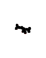 c1ccc(N(c2ccccc2)c2ccc(-c3cc4cc5c(cc(-c6ccc(N(c7ccccc7)c7ccccc7)cc6)n5-c5cc6ccccc6c6ccccc56)cc4o3)cc2)cc1